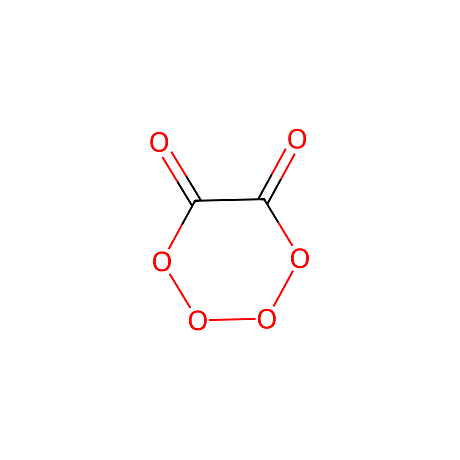 O=C1OOOOC1=O